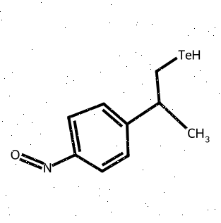 CC(C[TeH])c1ccc(N=O)cc1